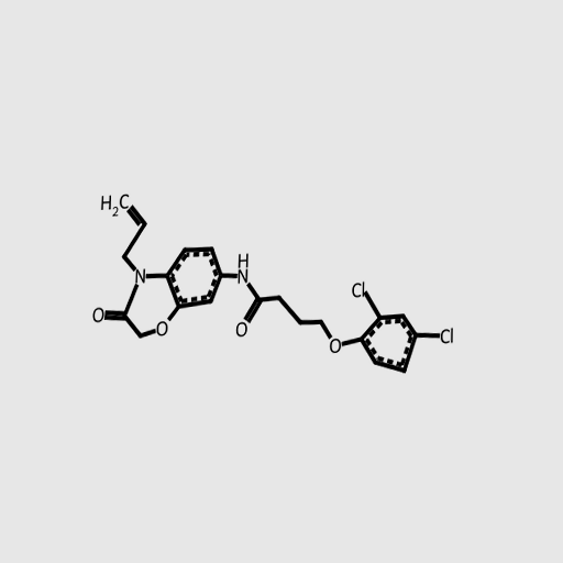 C=CCN1C(=O)COc2cc(NC(=O)CCCOc3ccc(Cl)cc3Cl)ccc21